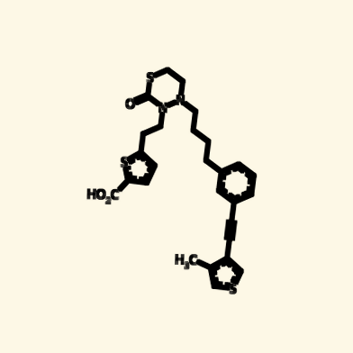 Cc1cscc1C#Cc1cccc(CCCCN2CCSC(=O)N2CCc2ccc(C(=O)O)s2)c1